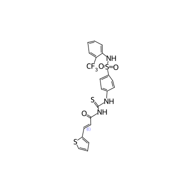 O=C(/C=C/c1cccs1)NC(=S)Nc1ccc(S(=O)(=O)Nc2ccccc2C(F)(F)F)cc1